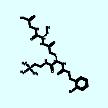 C[N+](C)(C)CCNC(=O)[C@H](CCC(=O)N[C@@H](CS)C(=O)NCC(=O)O)NC(=O)OCc1ccccc1Br